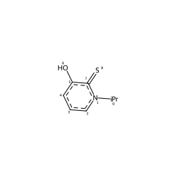 CC(C)n1cccc(O)c1=S